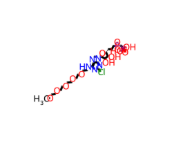 COCCOCCOCCOCCOCCNc1nc(Cl)nc2c1ncn2[C@@H]1O[C@H](CCCP(=O)(O)CP(=O)(O)O)C(O)C1O